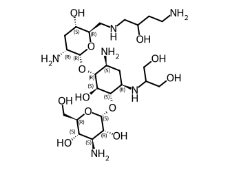 NCCC(O)CNC[C@H]1O[C@H](O[C@H]2[C@H](O)[C@@H](O[C@H]3O[C@H](CO)[C@@H](O)[C@H](N)[C@H]3O)[C@H](NC(CO)CO)C[C@@H]2N)[C@H](N)C[C@@H]1O